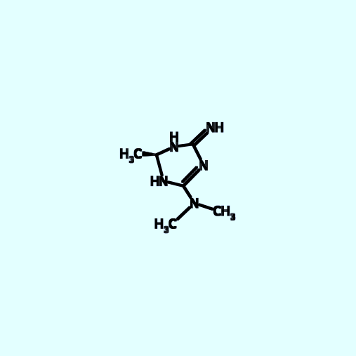 C[C@H]1NC(=N)N=C(N(C)C)N1